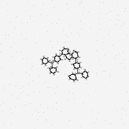 c1ccc(N(c2ccccc2)c2ccc(-c3ccnc4c3ccc3c(-c5ccc(N(c6ccccc6)c6ccccc6)cc5)ccnc34)cc2)cc1